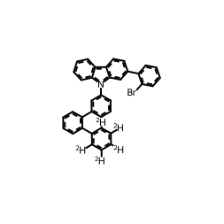 [2H]c1c([2H])c([2H])c(-c2ccccc2-c2cccc(-n3c4ccccc4c4ccc(-c5ccccc5Br)cc43)c2)c([2H])c1[2H]